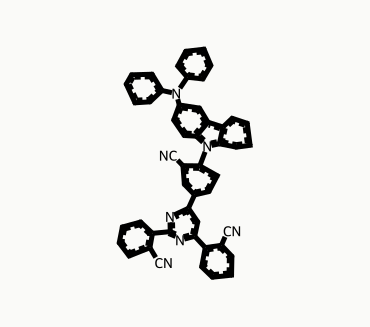 N#Cc1ccccc1-c1cc(-c2ccc(-n3c4ccccc4c4cc(N(c5ccccc5)c5ccccc5)ccc43)c(C#N)c2)nc(-c2ccccc2C#N)n1